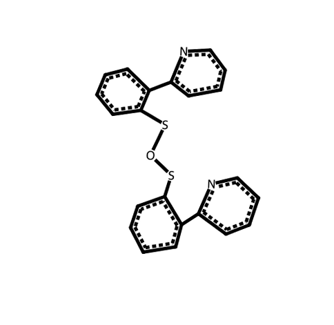 c1ccc(-c2ccccc2SOSc2ccccc2-c2ccccn2)nc1